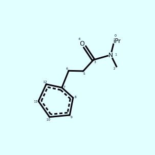 CC(C)N(C)C(=O)CCc1ccccc1